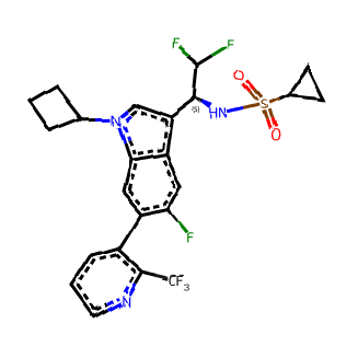 O=S(=O)(N[C@@H](c1cn(C2CCC2)c2cc(-c3cccnc3C(F)(F)F)c(F)cc12)C(F)F)C1CC1